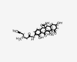 C#CCN(C)CC(=O)Nc1ccc2c(c1O)C(=O)C1=C(O)C3(O)C(=O)CC(O)CC3CC1(C(N)=O)C2